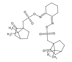 CC1(C)C2CCC1(CS(=O)(=O)ON=C1CCCCC1=NOS(=O)(=O)CC13CCC(CC1=O)C3(C)C)C(=O)C2